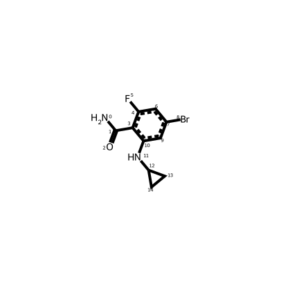 NC(=O)c1c(F)cc(Br)cc1NC1CC1